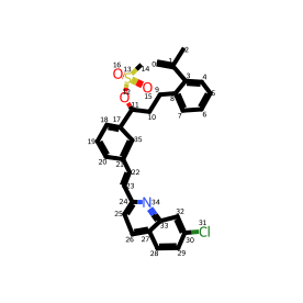 C=C(C)c1ccccc1CCC(OS(C)(=O)=O)c1cccc(C=Cc2ccc3ccc(Cl)cc3n2)c1